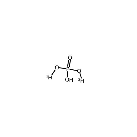 [2H]OP(=O)(O)O[2H]